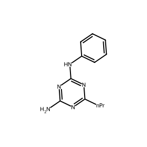 CCCc1nc(N)nc(Nc2ccccc2)n1